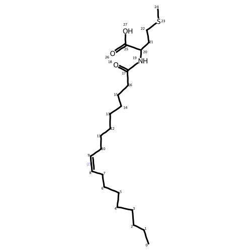 CCCCCCCC/C=C\CCCCCCCC(=O)NC(CCSC)C(=O)O